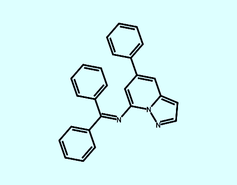 c1ccc(C(=Nc2cc(-c3ccccc3)cc3ccnn23)c2ccccc2)cc1